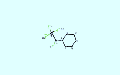 FC(C1CCCCC1)C(F)(F)F